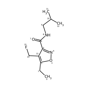 CCc1onc(C(=O)NCC(C)C)c1CF